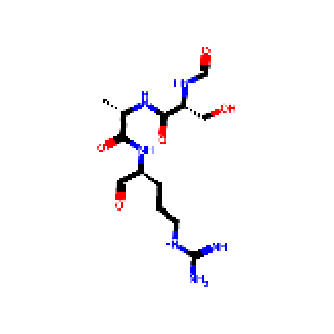 C[C@H](NC(=O)[C@@H](CO)NC=O)C(=O)N[C@H]([C]=O)CCCNC(=N)N